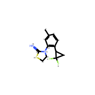 Cc1ccc(C2CC2(F)F)c(N2CCSC2=N)c1